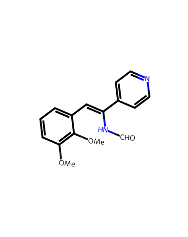 COc1cccc(C=C(NC=O)c2ccncc2)c1OC